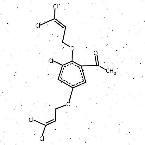 CC(=O)c1cc(OCC=C(Cl)Cl)cc(Cl)c1OCC=C(Cl)Cl